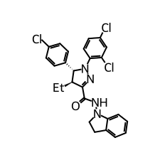 CC[C@@H]1C(C(=O)NN2CCc3ccccc32)=NN(c2ccc(Cl)cc2Cl)[C@H]1c1ccc(Cl)cc1